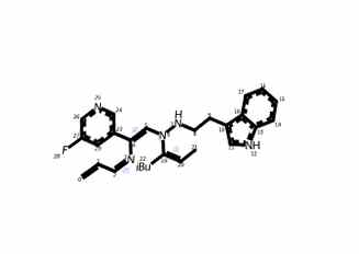 C=C/C=N\C(=C/N(NCCc1c[nH]c2ccccc12)/C(=C\C)C(C)CC)c1cncc(F)c1